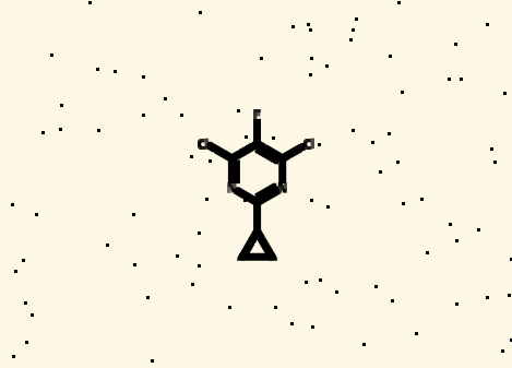 Fc1c(Cl)nc(C2CC2)nc1Cl